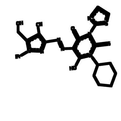 CC(C)n1nc(N=Nc2c(O)n(C3CCCCC3)c(=S)n(-c3nccs3)c2=O)c(C#N)c1CO